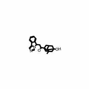 CC12CC3CC(O)(C1)CC(C(=O)CC1c4ccccc4-c4cncn41)(C3)C2